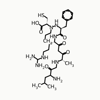 CCCN(N[C@@H](Cc1ccccc1)C(=O)N[C@@H](CCCNC(N)N)C(=O)CC(=O)[C@H](C)NCC(=O)C(N)CC(C)C)[C@@H](CS)C(=O)O